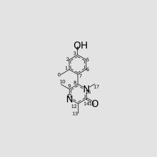 Cc1cc(O)ccc1-c1c(C)nc(C)c(=O)n1C